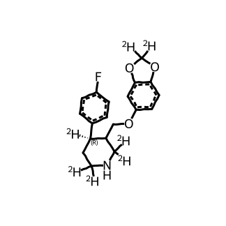 [2H]C1([2H])C[C@@]([2H])(c2ccc(F)cc2)C(COc2ccc3c(c2)OC([2H])([2H])O3)C([2H])([2H])N1